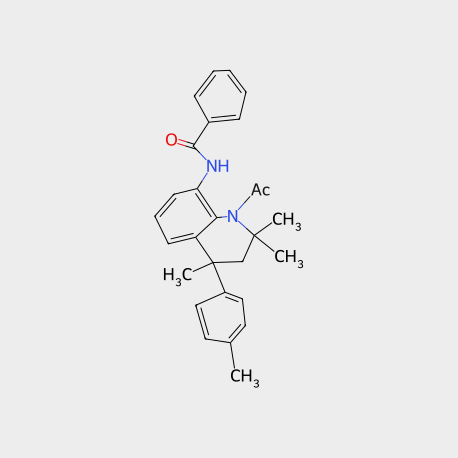 CC(=O)N1c2c(NC(=O)c3ccccc3)cccc2C(C)(c2ccc(C)cc2)CC1(C)C